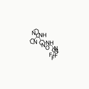 Cn1nc(CC(=O)Nc2cc(-c3[nH]c4cccnc4c3-c3ccccn3)ccn2)cc1C(F)(F)F